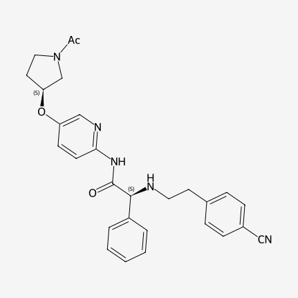 CC(=O)N1CC[C@H](Oc2ccc(NC(=O)[C@@H](NCCc3ccc(C#N)cc3)c3ccccc3)nc2)C1